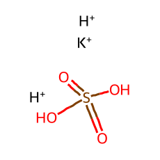 O=S(=O)(O)O.[H+].[H+].[K+]